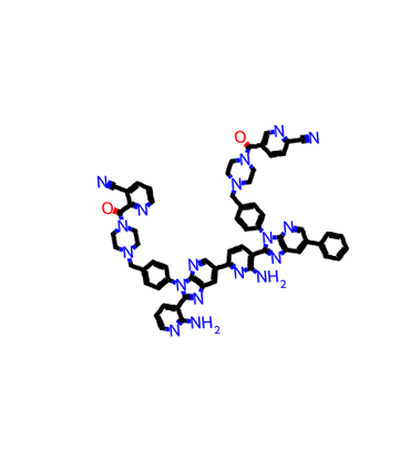 N#Cc1ccc(C(=O)N2CCN(Cc3ccc(-n4c(-c5ccc(-c6cnc7c(c6)nc(-c6cccnc6N)n7-c6ccc(CN7CCN(C(=O)c8ncccc8C#N)CC7)cc6)nc5N)nc5cc(-c6ccccc6)cnc54)cc3)CC2)cn1